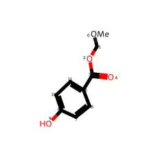 COCOC(=O)c1ccc(O)cc1